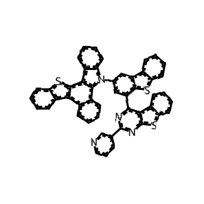 c1cncc(-c2nc(-c3cc(-n4c5ccccc5c5c6sc7ccccc7c6c6ccccc6c54)cc4c3sc3ccccc34)c3c(n2)sc2ccccc23)c1